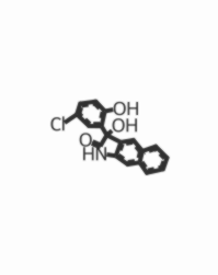 O=C1Nc2cc3ccccc3cc2C1(O)c1cc(Cl)ccc1O